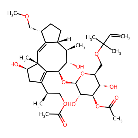 C=CC(C)(C)OC[C@@H]1O[C@H](O[C@H]2C3=C([C@H](C)COC(C)=O)C[C@@H](O)[C@]3(C)/C=C3/[C@H](COC)CC[C@@H]3[C@@H](C)[C@@H]2O)[C@@H](O)[C@H](OC(C)=O)[C@H]1O